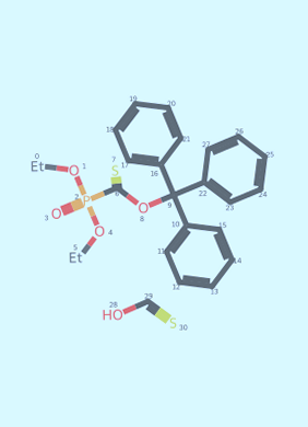 CCOP(=O)(OCC)C(=S)OC(c1ccccc1)(c1ccccc1)c1ccccc1.OC=S